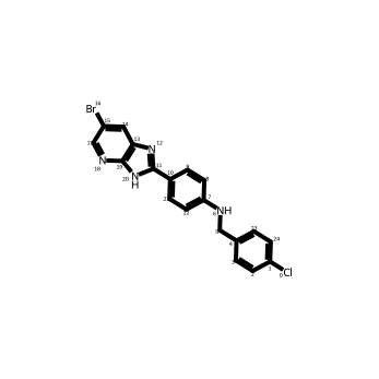 Clc1ccc(CNc2ccc(-c3nc4cc(Br)cnc4[nH]3)cc2)cc1